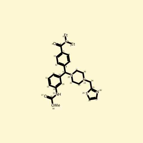 CCN(CC)C(=O)c1ccc(C(c2cccc(NC(=O)OC)c2)N2CCN(Cc3nccs3)CC2)cc1